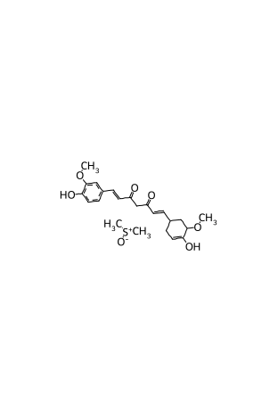 COc1cc(/C=C/C(=O)CC(=O)/C=C/C2CC=C(O)C(OC)C2)ccc1O.C[S+](C)[O-]